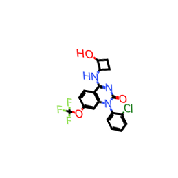 O=c1nc(NC2CCC2O)c2ccc(OC(F)(F)F)cc2n1-c1ccccc1Cl